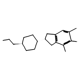 CCC[C@H]1CC[C@H](C2Cc3cc(F)c(F)c(F)c3C2)CC1